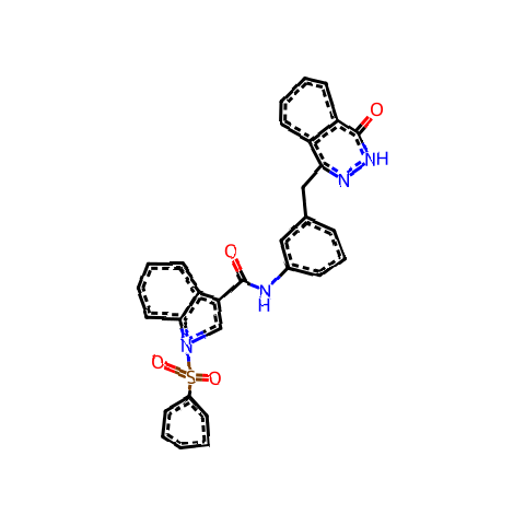 O=C(Nc1cccc(Cc2n[nH]c(=O)c3ccccc23)c1)c1cn(S(=O)(=O)c2ccccc2)c2ccccc12